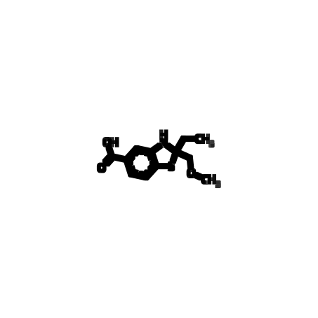 CCC1(COC)Nc2cc(C(=O)O)ccc2S1